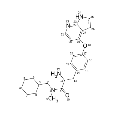 CN(CC1CCCCC1)C(=O)C(N)Cc1ccc(Oc2ccnc3[nH]ccc23)cc1